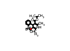 CC1=C(C(=O)O)C(c2ccccc2[N+](=O)[O-])C(C(=O)OC(C)C)=C(C)N1